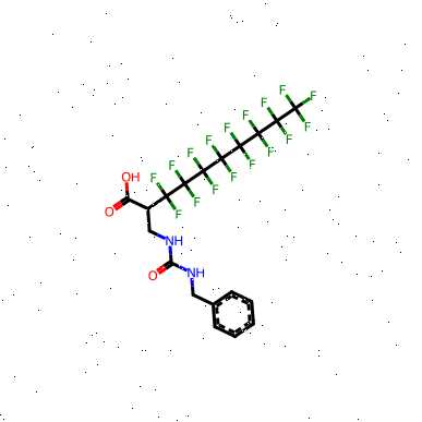 O=C(NCc1ccccc1)NCC(C(=O)O)C(F)(F)C(F)(F)C(F)(F)C(F)(F)C(F)(F)C(F)(F)C(F)(F)C(F)(F)F